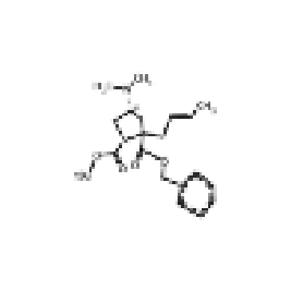 CC=CCC1(C(=O)OCc2ccccc2)C[C@@H](N(C)C)CN1C(=O)OC(C)(C)C